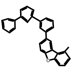 Cc1cccc2oc3ccc(-c4cccc(-c5cccc(-c6ccccc6)c5)c4)cc3c12